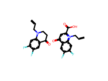 C=CCN1CCC(=O)c2cc(F)c(F)cc21.C=CCn1c(C(=O)O)cc(=O)c2cc(F)c(F)cc21